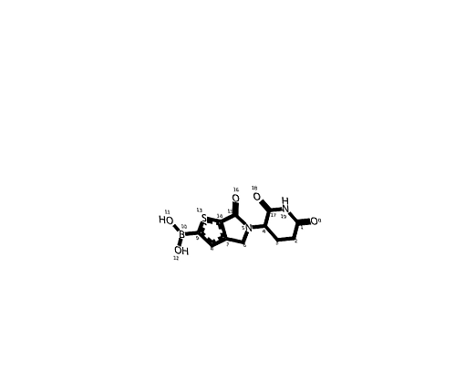 O=C1CCC(N2Cc3cc(B(O)O)sc3C2=O)C(=O)N1